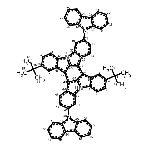 CC(C)(C)c1ccc2c(c1)c1c3c4ccc(-n5c6ccccc6c6ccccc65)cc4n4c5ccc(C(C)(C)C)cc5c(c5c6ccc(-n7c8ccccc8c8ccccc87)cc6n2c15)c34